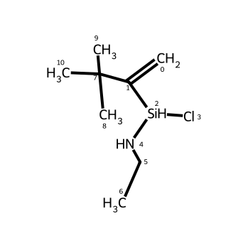 C=C([SiH](Cl)NCC)C(C)(C)C